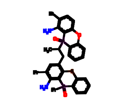 CCc1ccc2c(c1N)P(=O)(C(C)Cc1cc(C(C)C)c(N)c3c1Sc1ccccc1P3(=O)C(C)C)c1ccccc1O2